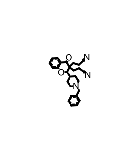 N#CCCC1(CCC#N)C(=O)c2ccccc2OC1C1CCN(Cc2ccccc2)CC1